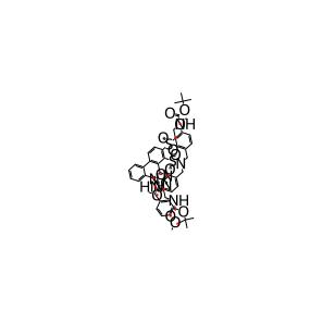 COc1ccc(CN(Cc2ccc(OC)cc2)S(=O)(=O)c2c(S(=O)(=O)CCNC(=O)OC(C)(C)C)ccc(-c3ccccc3C(=O)NCCNC(=O)OC(C)(C)C)c2-c2nnn(Cc3ccc(OC)cc3)n2)cc1